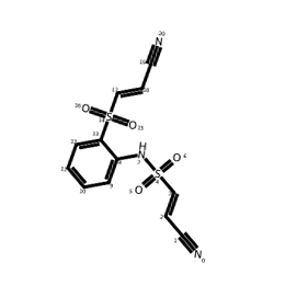 N#CC=CS(=O)(=O)Nc1ccccc1S(=O)(=O)C=CC#N